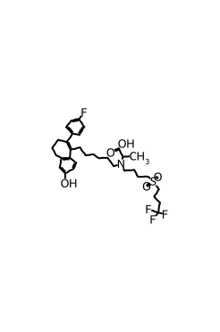 CC(C(=O)O)N(CCCCCCC1=C(c2ccc(F)cc2)CCCc2cc(O)ccc21)CCCCS(=O)(=O)CCCC(F)(F)F